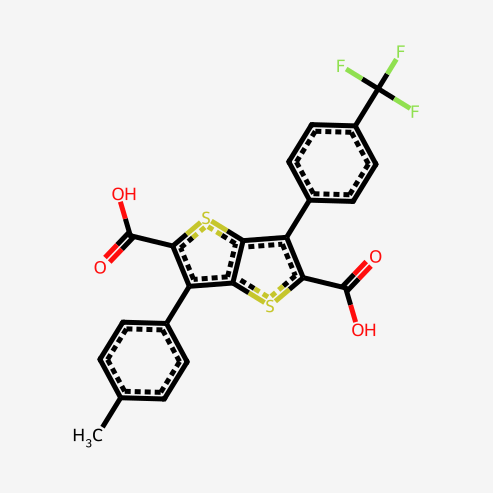 Cc1ccc(-c2c(C(=O)O)sc3c(-c4ccc(C(F)(F)F)cc4)c(C(=O)O)sc23)cc1